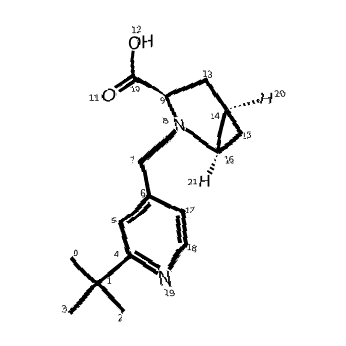 CC(C)(C)c1cc(CN2[C@@H](C(=O)O)C[C@H]3C[C@H]32)ccn1